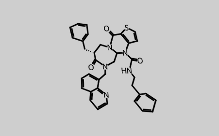 O=C1[C@H](Cc2ccccc2)CN2C(=O)c3sccc3N(C(=O)NCCc3ccccc3)C2CN1Cc1cccc2cccnc12